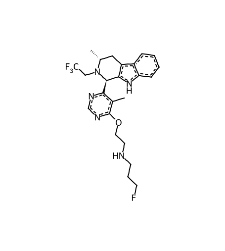 Cc1c(OCCNCCCF)ncnc1[C@@H]1c2[nH]c3ccccc3c2C[C@@H](C)N1CC(F)(F)F